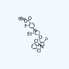 CCC1C2CC(CC2OCc2c(C3CC3)cnn2-c2c(Cl)cccc2Cl)N1c1ccc(C(=O)OC(C)(C)C)c(F)c1